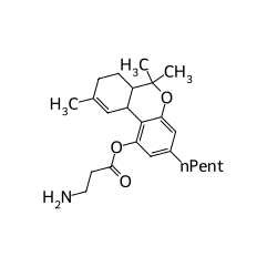 CCCCCc1cc(OC(=O)CCN)c2c(c1)OC(C)(C)C1CCC(C)=CC21